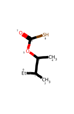 CCC(C)C(C)OC(=O)S